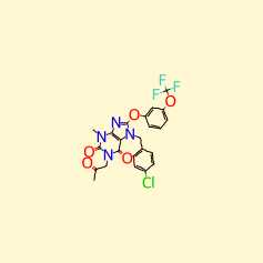 CC(=O)Cn1c(=O)c2c(nc(Oc3cccc(OC(F)(F)F)c3)n2Cc2ccc(Cl)cc2)n(C)c1=O